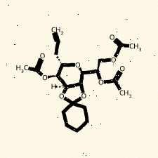 C=CC[C@@H]1O[C@@H]([C@@H](COC(C)=O)OC(C)=O)C2OC3(CCCCC3)O[C@H]2[C@H]1OC(C)=O